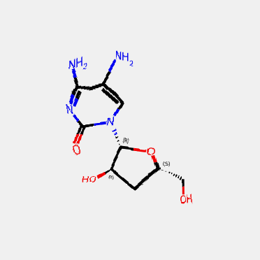 Nc1cn([C@@H]2O[C@H](CO)C[C@H]2O)c(=O)nc1N